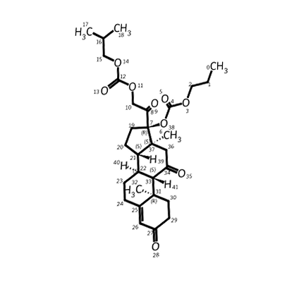 CCCOC(=O)O[C@]1(C(=O)COC(=O)OCC(C)C)CC[C@H]2[C@@H]3CCC4=CC(=O)CC[C@]4(C)[C@H]3C(=O)C[C@@]21C